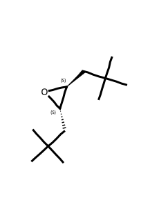 CC(C)(C)C[C@@H]1O[C@H]1CC(C)(C)C